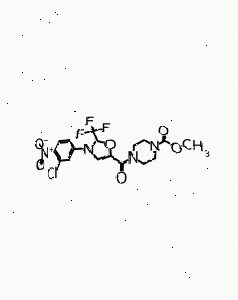 COC(=O)N1CCN(C(=O)C2CN(c3ccc([N+](=O)[O-])c(Cl)c3)C(C(F)(F)F)O2)CC1